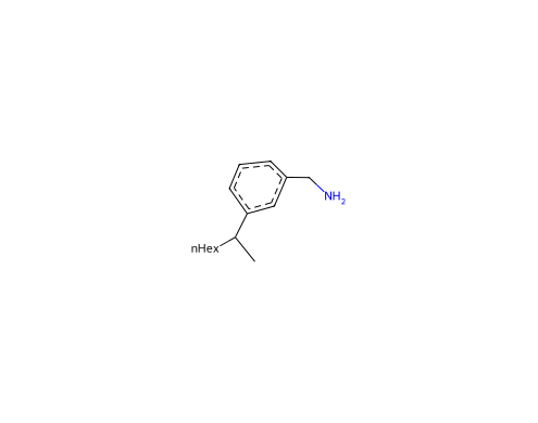 CCCCCCC(C)c1cccc(CN)c1